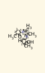 Cc1cccc(/C=N/C(C)C(C)/N=C/c2cccc(C)c2O)c1O